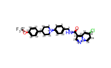 O=C(NCc1ccc(N2CCC(c3ccc(OC(F)(F)F)cc3)CC2)cc1)c1cnn2ccc(Cl)cc12